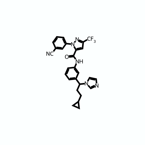 N#Cc1cccc(-n2nc(C(F)(F)F)cc2C(=O)Nc2cccc(C(CCC3CC3)n3ccnc3)c2)c1